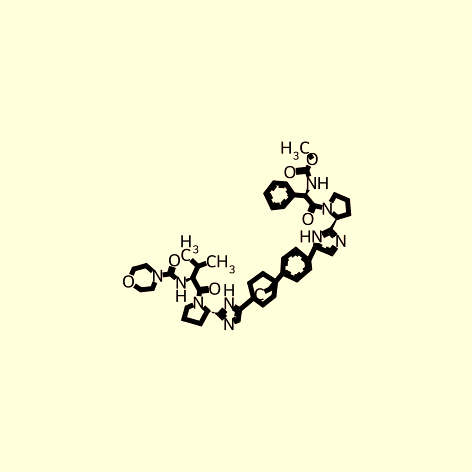 COC(=O)N[C@@H](C(=O)N1CCC[C@H]1c1ncc(-c2ccc(C34CCC(c5cnc([C@@H]6CCCN6C(=O)[C@@H](NC(=O)N6CCOCC6)C(C)C)[nH]5)(CC3)CC4)cc2)[nH]1)c1ccccc1